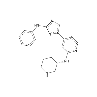 c1ccc(Nc2ncn(-c3cc(N[C@H]4CCCNC4)ncn3)n2)cc1